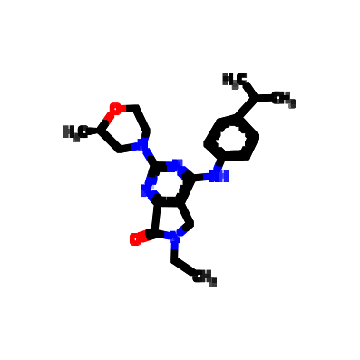 CCN1Cc2c(Nc3ccc(C(C)C)cc3)nc(N3CCO[C@H](C)C3)nc2C1=O